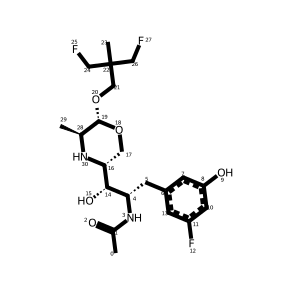 CC(=O)N[C@@H](Cc1cc(O)cc(F)c1)[C@H](O)[C@H]1CO[C@@H](OCC(C)(CF)CF)[C@H](C)N1